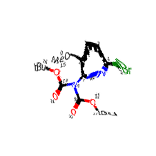 COc1ccc(Br)nc1N(C(=O)OC(C)(C)C)C(=O)OC(C)(C)C